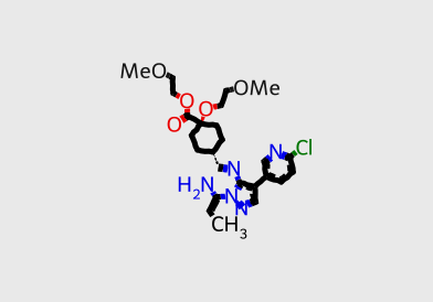 C/C=C(/N)n1ncc(-c2ccc(Cl)nc2)c1/N=C/[C@H]1CC[C@@](OCCOC)(C(=O)OCCOC)CC1